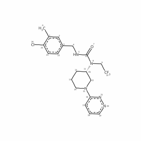 Cc1cc(CNC(=O)N(CC(F)(F)F)[C@H]2CCCN(c3cccnn3)C2)ccc1Cl